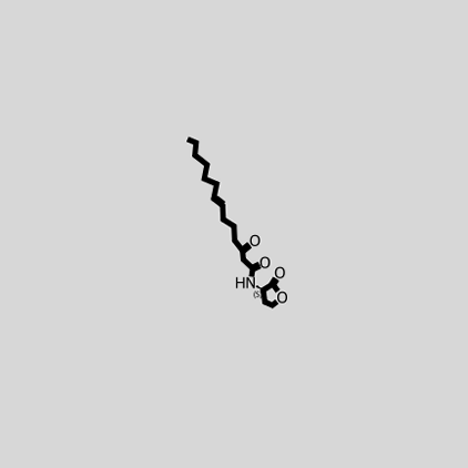 CCCCCCC=CCCCC(=O)CC(=O)N[C@H]1CCOC1=O